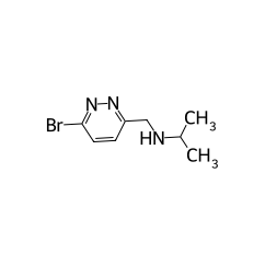 CC(C)NCc1ccc(Br)nn1